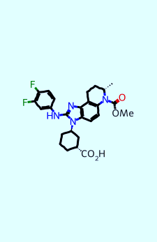 COC(=O)N1c2ccc3c(nc(Nc4ccc(F)c(F)c4)n3[C@@H]3CCC[C@@H](C(=O)O)C3)c2CC[C@@H]1C